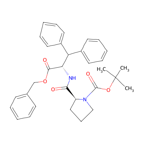 CC(C)(C)OC(=O)N1CCC[C@H]1C(=O)N[C@H](C(=O)OCc1ccccc1)C(c1ccccc1)c1ccccc1